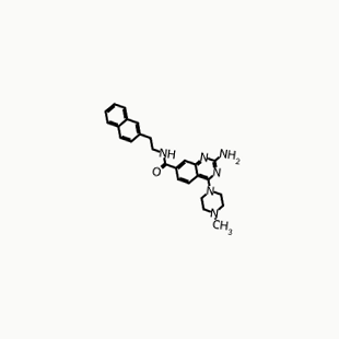 CN1CCN(c2nc(N)nc3cc(C(=O)NCCc4ccc5ccccc5c4)ccc23)CC1